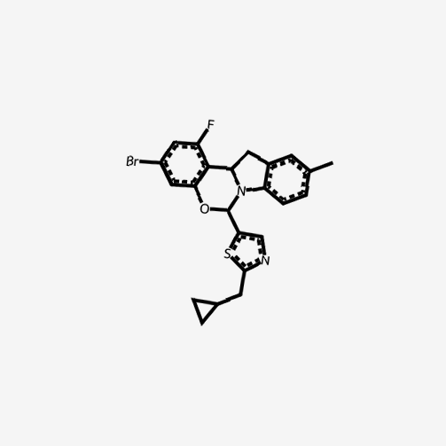 Cc1ccc2c(c1)CC1c3c(F)cc(Br)cc3OC(c3cnc(CC4CC4)s3)N21